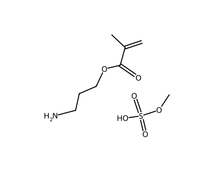 C=C(C)C(=O)OCCCN.COS(=O)(=O)O